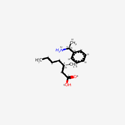 CCCC[C@H](C)CC(=O)O.C[C@H](N)c1ccccc1